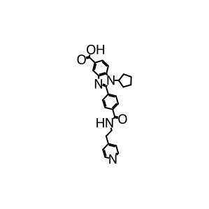 O=C(O)c1ccc2c(c1)nc(-c1ccc(C(=O)NCCc3ccncc3)cc1)n2C1CCCC1